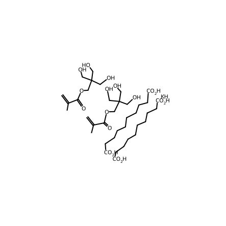 C=C(C)C(=O)OCC(CO)(CO)CO.C=C(C)C(=O)OCC(CO)(CO)CO.O=C(O)CCCCCCCCC(=O)O.O=C(O)CCCCCCCCC(=O)O.[KH]